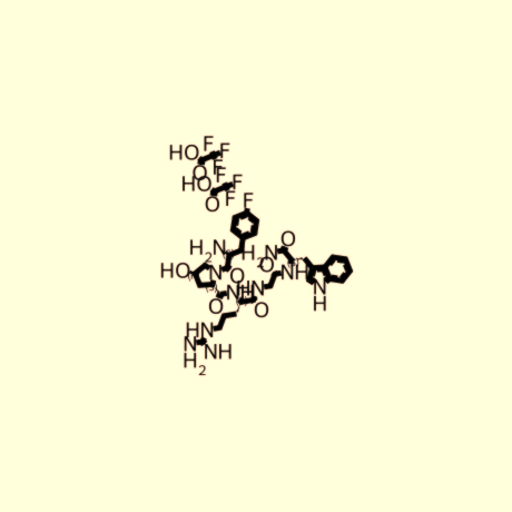 N=C(N)NCCC[C@H](NC(=O)[C@@H]1C[C@@H](O)CN1C(=O)[C@@H](N)Cc1ccc(F)cc1)C(=O)NCC(=O)N[C@@H](Cc1c[nH]c2ccccc12)C(N)=O.O=C(O)C(F)(F)F.O=C(O)C(F)(F)F